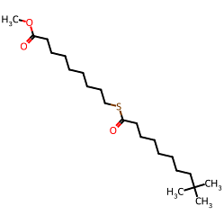 COC(=O)CCCCCCCCSC(=O)CCCCCCCC(C)(C)C